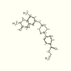 CCOC(=O)c1ccc(N2CCN(Cc3cc(C)c4c(c3)NC(=O)C(C)O4)CC2)nc1